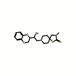 CN1CC2(CCN(CC(O)C3COc4ccccc4O3)CC2)OC1=O